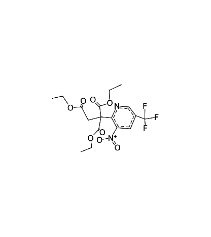 CCOC(=O)CC(C(=O)OCC)(C(=O)OCC)c1ncc(C(F)(F)F)cc1[N+](=O)[O-]